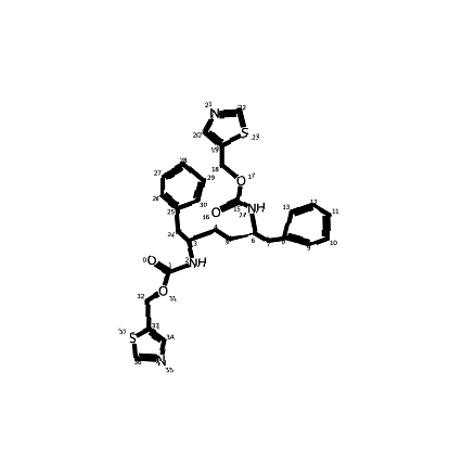 O=C(NC(CC[C@H](Cc1ccccc1)NC(=O)OCc1cncs1)Cc1ccccc1)OCc1cncs1